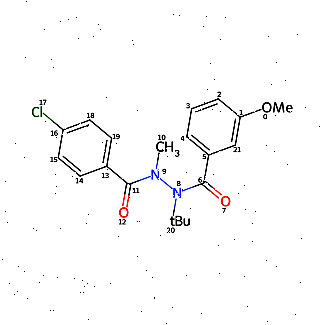 COc1cccc(C(=O)N(N(C)C(=O)c2ccc(Cl)cc2)C(C)(C)C)c1